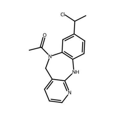 CC(=O)N1Cc2cccnc2Nc2ccc(C(C)Cl)cc21